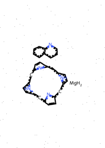 C1=Cc2cc3ccc(cc4nc(cc5ccc(cc1n2)[nH]5)C=C4)[nH]3.[MgH2].c1ccc2ncccc2c1